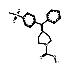 CC(C)(C)OC(=O)N1CCC(=C(c2ccccc2)c2ccc(S(C)(=O)=O)cc2)CC1